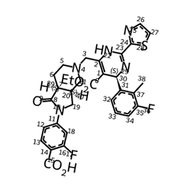 CCOC(=O)C1=C(CN2CC[C@@H]3C(=O)N(c4ccc(C(=O)O)c(F)c4)C[C@@H]3C2)NC(c2nccs2)=N[C@H]1c1cccc(F)c1C